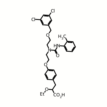 CCOC(Cc1ccc(OCCN(CCOCc2cc(Cl)cc(Cl)c2)C(=O)Nc2ccccc2C)cc1)C(=O)O